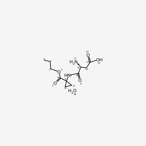 CCCOC(=O)C1(NC(=O)[C@@H](N)CC(=O)O)CC1.O